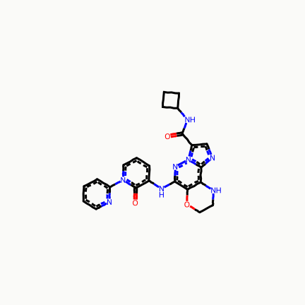 O=C(NC1CCC1)c1cnc2c3c(c(Nc4cccn(-c5ccccn5)c4=O)nn12)OCCN3